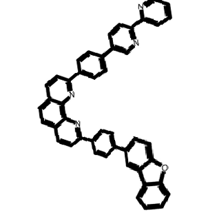 c1ccc(-c2ccc(-c3ccc(-c4ccc5ccc6ccc(-c7ccc(-c8ccc9oc%10ccccc%10c9c8)cc7)nc6c5n4)cc3)cn2)nc1